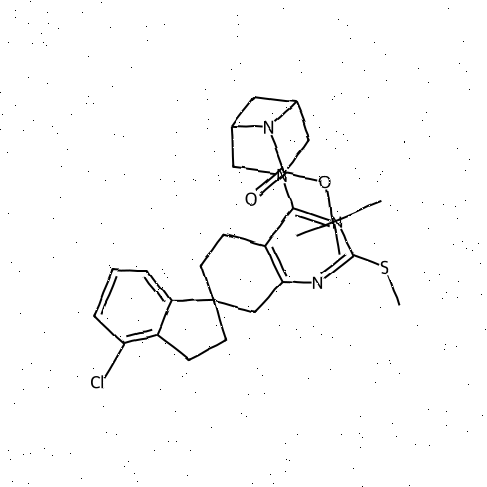 CSc1nc2c(c(N3CC4CC(C3)N4C(=O)OC(C)(C)C)n1)CCC1(CCc3c(Cl)cccc31)C2